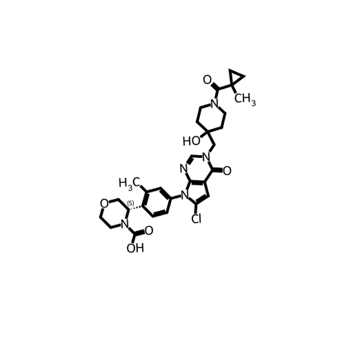 Cc1cc(-n2c(Cl)cc3c(=O)n(CC4(O)CCN(C(=O)C5(C)CC5)CC4)cnc32)ccc1[C@H]1COCCN1C(=O)O